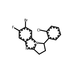 Fc1cc2nc3n(c2cc1Br)C(c1ccccc1Cl)CC3